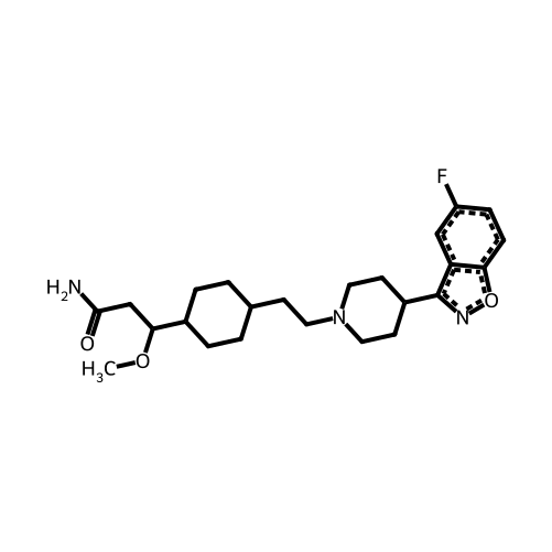 COC(CC(N)=O)C1CCC(CCN2CCC(c3noc4ccc(F)cc34)CC2)CC1